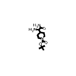 CC(C)(C)OC(=O)N1CCC(C(N)C(N)=O)CC1